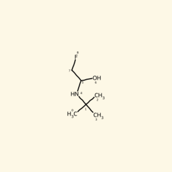 CC(C)(C)NC(O)CF